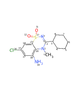 CN1C(C2CCCCC2)=NS(=O)(=O)c2cc(Cl)cc(N)c21